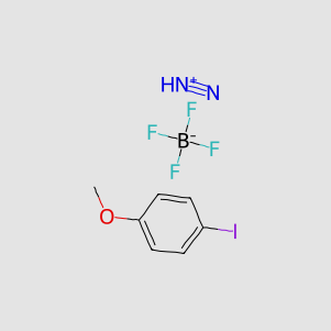 COc1ccc(I)cc1.F[B-](F)(F)F.N#[NH+]